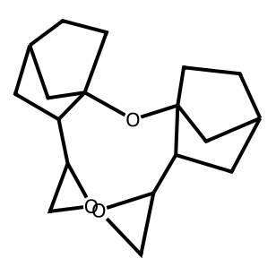 C1CC2(OC34CCC(CC3C3CO3)C4)CC1CC2C1CO1